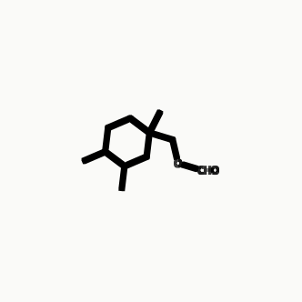 CC1CCC(C)(COC=O)CC1C